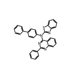 c1ccc(-c2ccc(N(c3nc4ccccc4s3)c3nc(-c4ccccc4)nc4ccccc34)cc2)cc1